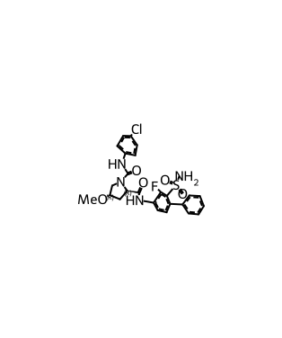 CO[C@@H]1C[C@H](C(=O)Nc2ccc(-c3ccccc3)c(S(N)(=O)=O)c2F)N(C(=O)Nc2ccc(Cl)cc2)C1